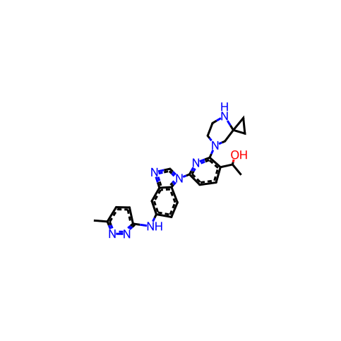 Cc1ccc(Nc2ccc3c(c2)ncn3-c2ccc(C(C)O)c(N3CCNC4(CC4)C3)n2)nn1